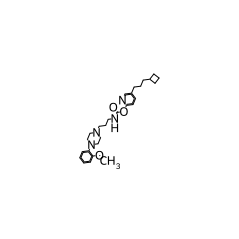 COc1ccccc1N1CCN(CCCNC(=O)Oc2ccc(CCCC3CCC3)cn2)CC1